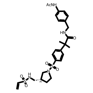 C=CS(=O)(=O)NC[C@H]1CCN(S(=O)(=O)c2ccc(C(C)(C)C(=O)NCc3ccc(NC(C)=O)cc3)cc2)C1